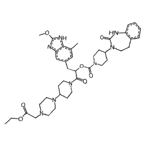 CCOC(=O)CN1CCN(C2CCN(C(=O)C(Cc3cc(C)c4[nH]c(OC)nc4c3)OC(=O)N3CCC(N4CCc5ccccc5NC4=O)CC3)CC2)CC1